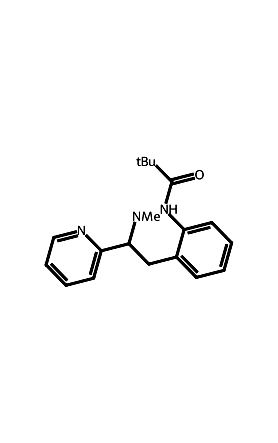 CNC(Cc1ccccc1NC(=O)C(C)(C)C)c1ccccn1